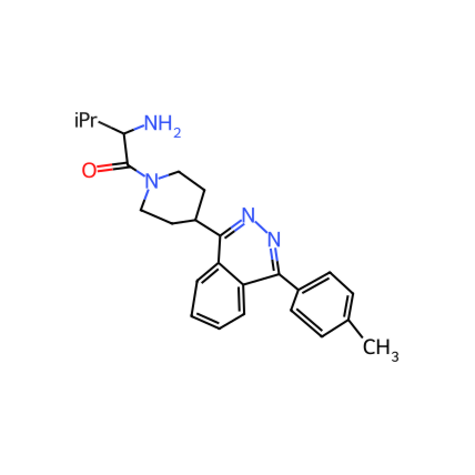 Cc1ccc(-c2nnc(C3CCN(C(=O)C(N)C(C)C)CC3)c3ccccc23)cc1